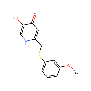 CCOc1cccc(SCc2cc(=O)c(O)c[nH]2)c1